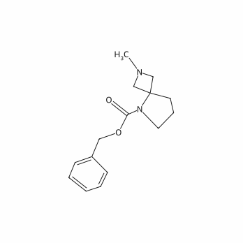 CN1CC2(CCCN2C(=O)OCc2ccccc2)C1